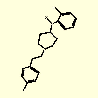 CCc1ccccc1[S+]([O-])C1CCN(CCc2ccc(F)cc2)CC1